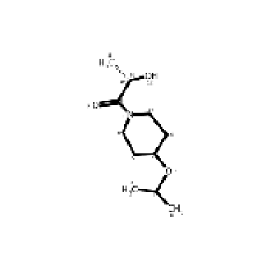 CC(C)OC1CCN(C(=O)[C@H](C)O)CC1